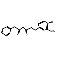 COc1cc(CCC(=O)CC(=O)Cc2ccccc2)ccc1O